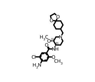 COc1cc(N)c(Cl)cc1C(=O)N[C@@H]1CCN(CC2CCC3(CC2)OCCO3)C[C@@H]1OC